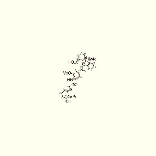 COc1cc(NCc2cccc(OC)c2Oc2ncccc2C(=O)O)ccc1NC(=O)COC1CCCC(C)C1C(C)C